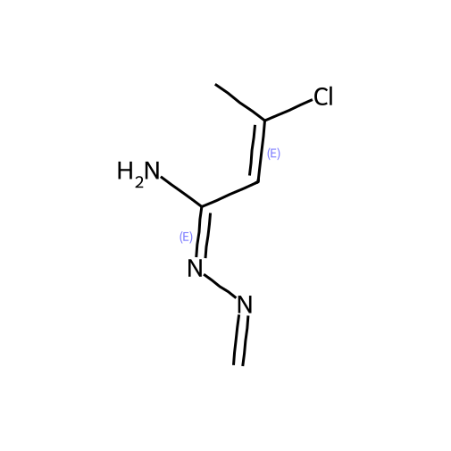 C=N/N=C(N)\C=C(/C)Cl